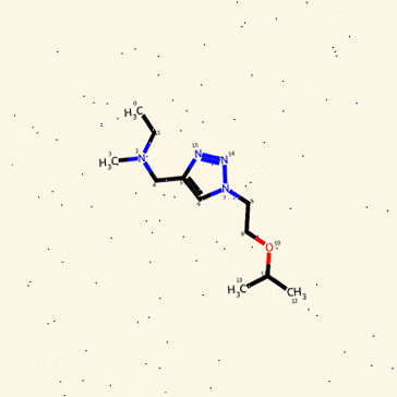 CCN(C)Cc1cn(CCOC(C)C)nn1